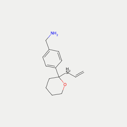 C=C[SiH2]C1(c2ccc(CN)cc2)CCCCO1